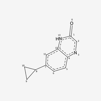 O=c1cnc2ccc(C3CC3)cc2[nH]1